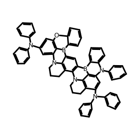 c1ccc(N(c2ccccc2)c2cc3c4c(c2)N2CCCc5c2c(cc2c5N5CCCc6c(N(c7ccccc7)c7ccccc7)cc7c(c65)B2c2ccccc2N7c2ccccc2)B4c2ccccc2O3)cc1